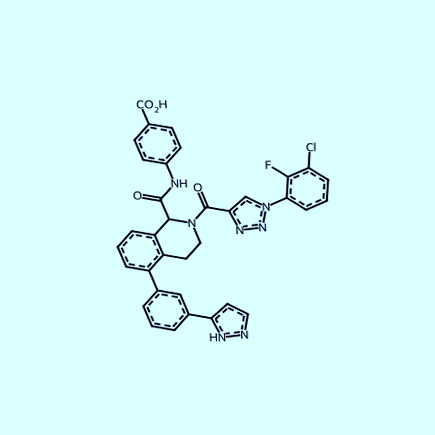 O=C(O)c1ccc(NC(=O)C2c3cccc(-c4cccc(-c5ccn[nH]5)c4)c3CCN2C(=O)c2cn(-c3cccc(Cl)c3F)nn2)cc1